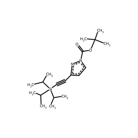 CC(C)[Si](C#Cc1ccn(C(=O)OC(C)(C)C)n1)(C(C)C)C(C)C